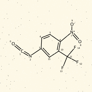 O=C=Nc1ccc([N+](=O)[O-])c(C(F)(F)F)c1